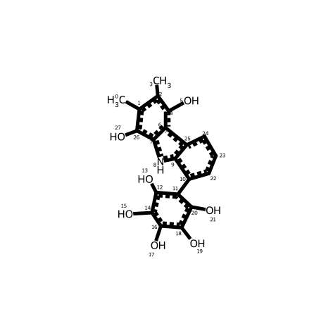 Cc1c(C)c(O)c2c([nH]c3c(-c4c(O)c(O)c(O)c(O)c4O)cccc32)c1O